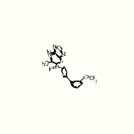 Oc1nc2nonc2nc1Nc1ccc(-c2cccc(OC(F)(F)F)c2)cc1